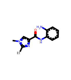 CCc1nc(C(=O)Nc2ccccc2N)cn1C